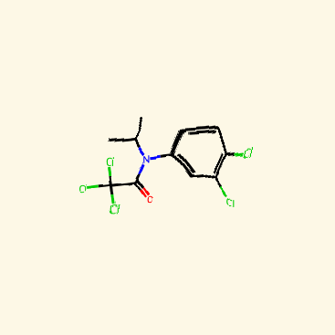 CC(C)N(C(=O)C(Cl)(Cl)Cl)c1ccc(Cl)c(Cl)c1